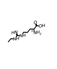 CCNC(=N)NCCC[C@H](N)C(=O)O